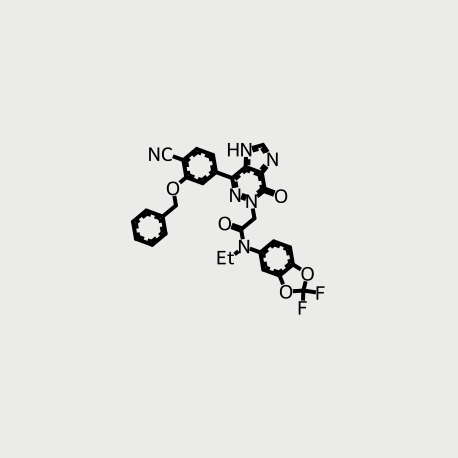 CCN(C(=O)Cn1nc(-c2ccc(C#N)c(OCc3ccccc3)c2)c2[nH]cnc2c1=O)c1ccc2c(c1)OC(F)(F)O2